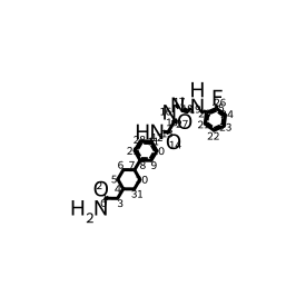 NC(=O)CC1CCC(c2ccc(NC(=O)c3nnc(Nc4ccccc4F)o3)cc2)CC1